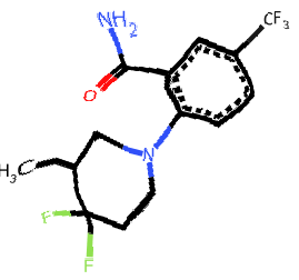 CC1CN(c2ccc(C(F)(F)F)cc2C(N)=O)CCC1(F)F